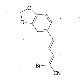 N#CC(Br)=CC=Cc1ccc2c(c1)OCO2